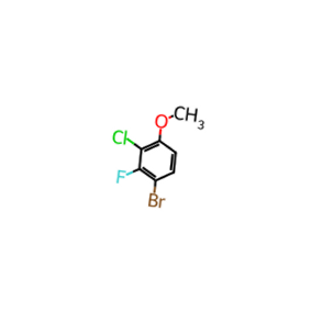 COc1ccc(Br)c(F)c1Cl